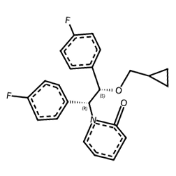 O=c1ccccn1[C@H](c1ccc(F)cc1)[C@@H](OCC1CC1)c1ccc(F)cc1